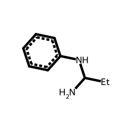 CCC(N)Nc1ccccc1